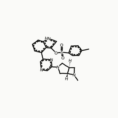 Cc1ccc(S(=O)(=O)Oc2c[nH]c3cccc(-c4cncc(N5C[C@H]6CN(C)[C@@H]6C5)n4)c23)cc1